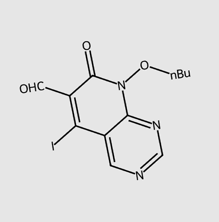 CCCCOn1c(=O)c(C=O)c(I)c2cncnc21